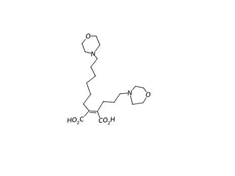 O=C(O)C(CCCCCCN1CCOCC1)=C(CCCN1CCOCC1)C(=O)O